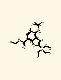 CCOC(=O)c1cc(I)c(NC(C)=O)c2cc([Si](CC)(CC)CC)oc12